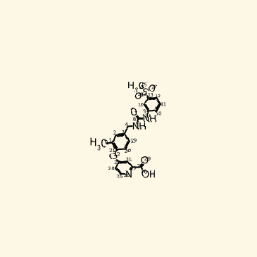 Cc1cc(CNC(=O)Nc2cccc(S(C)(=O)=O)c2)ccc1Oc1ccnc(C(=O)O)c1